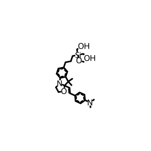 CO[Si](CO)(CO)CCCc1ccc2c(c1)C(C)(C)C1(C=Cc3ccc(N(C)C)cc3)OCCN21